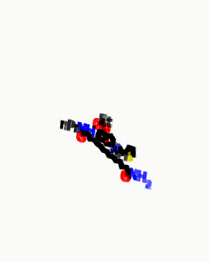 CCCN(CCc1cccs1)[C@@H]1CCc2c(cccc2OC(=O)CC)C1.CCCNC(=O)CCCCCCCCCCCCCC(N)=O